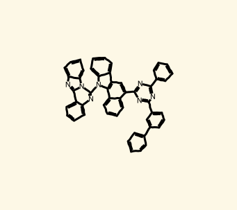 c1ccc(-c2cccc(-c3nc(-c4ccccc4)nc(-c4cc5c6ccccc6n(-c6nc7ccccc7c7nc8ccccc8n67)c5c5ccccc45)n3)c2)cc1